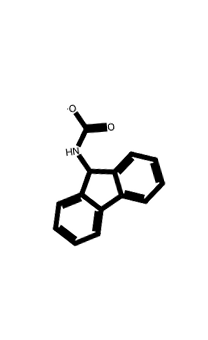 [O]C(=O)NC1c2ccccc2-c2ccccc21